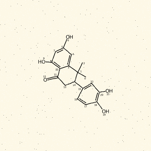 CC1(C)c2cc(O)cc(O)c2C(=O)CC1c1ccc(O)c(O)c1